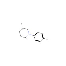 C[C@@H]1C[C@@H](C)CN(c2ccc(C(C)(C)C)cc2)C1